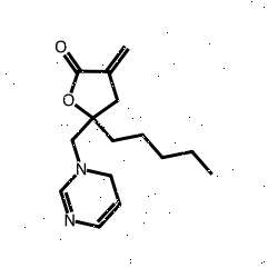 C=C1CC(CCCCC)(CN2C=NC=CC2)OC1=O